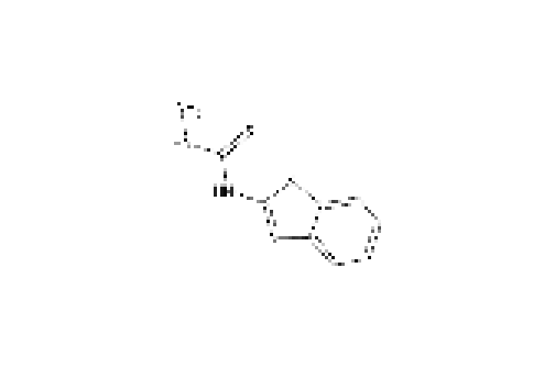 NNC(=S)Nc1nc2ccccc2s1